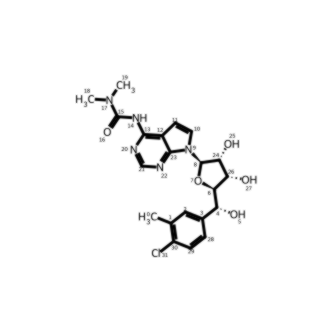 Cc1cc([C@@H](O)[C@H]2O[C@@H](n3ccc4c(NC(=O)N(C)C)ncnc43)[C@H](O)[C@@H]2O)ccc1Cl